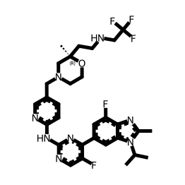 Cc1nc2c(F)cc(-c3nc(Nc4ccc(CN5CCO[C@](C)(CCNCC(F)(F)F)C5)cn4)ncc3F)cc2n1C(C)C